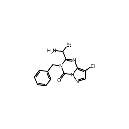 CCC(N)c1nc2c(Cl)cnn2c(=O)n1Cc1ccccc1